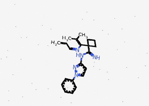 C=C/C=N\C(=C(C)C)C1(C(=N)Nc2ccn(-c3ccccc3)n2)CCC1